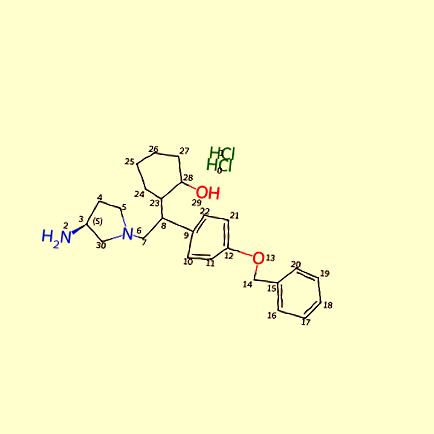 Cl.Cl.N[C@H]1CCN(CC(c2ccc(OCc3ccccc3)cc2)C2CCCCC2O)C1